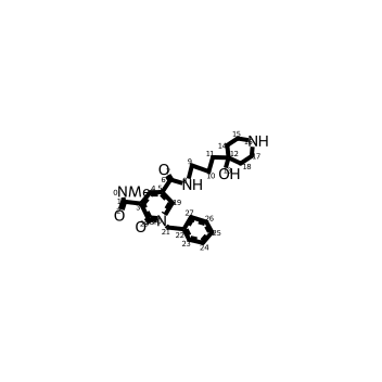 CNC(=O)c1cc(C(=O)NCCCC2(O)CCNCC2)cn(Cc2ccccc2)c1=O